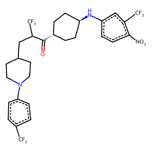 O=C(C(CC1CCN(c2ccc(C(F)(F)F)cc2)CC1)C(F)(F)F)[C@H]1CC[C@H](Nc2ccc([N+](=O)[O-])c(C(F)(F)F)c2)CC1